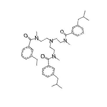 CCc1cccc(C(=O)N(C)CCN(CCN(C)C(=O)c2cccc(CC(C)C)c2)CCN(C)C(=O)c2cccc(CC(C)C)c2)c1